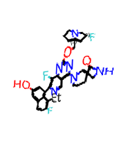 CCc1c(F)ccc2cc(O)cc(-c3ncc4c(N5CCCC6(CNC6=O)C5)nc(OC[C@@]56CCCN5C[C@H](F)C6)nc4c3F)c12